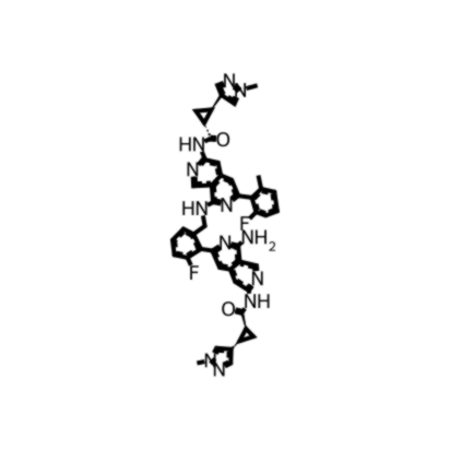 Cc1cccc(F)c1-c1cc2cc(NC(=O)[C@@H]3C[C@H]3c3cnn(C)c3)ncc2c(NCc2cccc(F)c2-c2cc3cc(NC(=O)[C@H]4C[C@@H]4c4cnn(C)c4)ncc3c(N)n2)n1